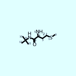 CSCCC(N)C(=O)NC(C)(C)C